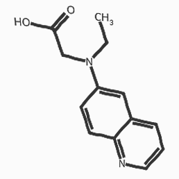 CCN(CC(=O)O)c1ccc2ncccc2c1